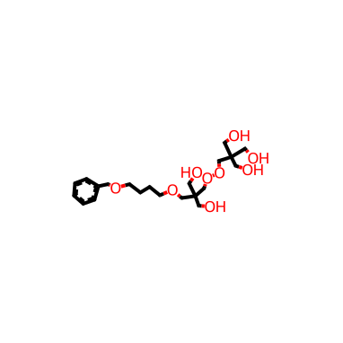 OCC(CO)(CO)COOCC(CO)(CO)COCCCCOCc1ccccc1